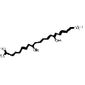 CCC(O)CCCCCCC(O)CC=CC=CC(O)=CC=CC=CC(=O)O